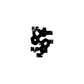 CCn1cc(-c2c(F)cccc2[C@@H]2CNCc3sc(C#N)c(C)c32)c(C(F)(F)F)n1